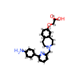 Nc1ccc(-c2cccc(CN3CCc4ccc(OCC(=O)O)cc4CC3)n2)cc1